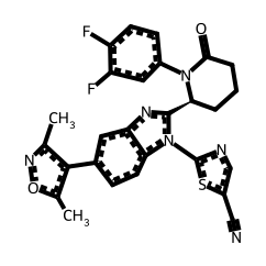 Cc1noc(C)c1-c1ccc2c(c1)nc([C@@H]1CCCC(=O)N1c1ccc(F)c(F)c1)n2-c1ncc(C#N)s1